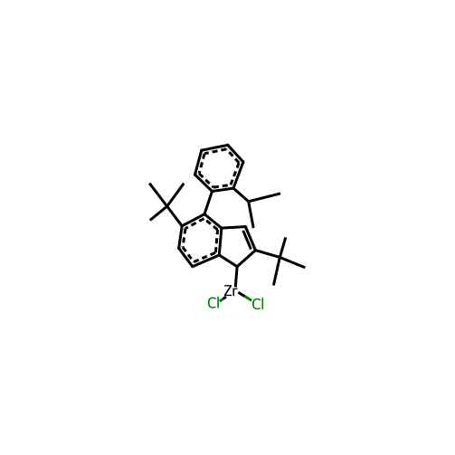 CC(C)c1ccccc1-c1c(C(C)(C)C)ccc2c1C=C(C(C)(C)C)[CH]2[Zr]([Cl])[Cl]